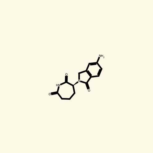 Nc1ccc2c(c1)CN([C@H]1CCCC(=O)NC1=O)C2=O